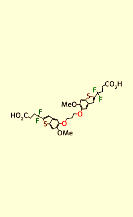 COc1cc2sc(C(F)(F)CCC(=O)O)cc2cc1OCCCOc1cc2cc(C(F)(F)CCC(=O)O)sc2cc1OC